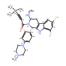 CCCCN[C@H]1Cc2c([nH]c3c(F)cc(F)cc23)[C@H](c2ccc(N3CCN(C)CC3)cc2)N1C(=O)C#C[Si](C)(C)C